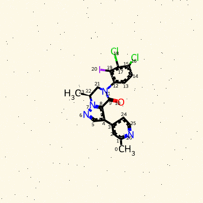 Cc1cc(-c2cnn3c2C(=O)N(c2ccc(Cl)c(Cl)c2I)C[C@@H]3C)ccn1